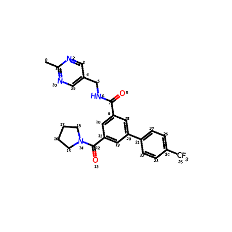 Cc1ncc(CNC(=O)c2cc(C(=O)N3CCCC3)cc(-c3ccc(C(F)(F)F)cc3)c2)cn1